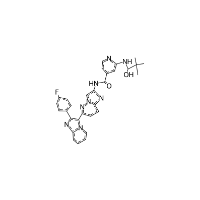 CC(C)(C)C(O)Nc1cc(C(=O)Nc2cn3nc(-c4c(-c5ccc(F)cc5)nc5ccccn45)ccc3n2)ccn1